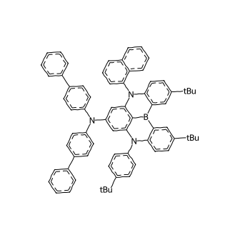 CC(C)(C)c1ccc(N2c3ccc(C(C)(C)C)cc3B3c4cc(C(C)(C)C)ccc4N(c4cccc5ccccc45)c4cc(N(c5ccc(-c6ccccc6)cc5)c5ccc(-c6ccccc6)cc5)cc2c43)cc1